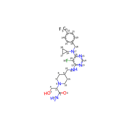 NC(=O)C(CO)N1CCC(CNc2ncnc(N(Cc3ccc(C(F)(F)F)cc3)C3CC3)c2F)CC1